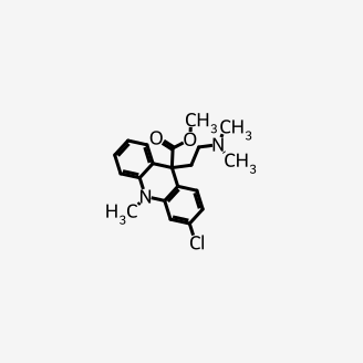 COC(=O)C1(CCN(C)C)c2ccccc2N(C)c2cc(Cl)ccc21